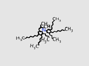 CCCCCCCCc1cc(C=C(CC)C(C)=Nc2cc(CCCC)c(CCCCCCCC)c(CCCCCC)c2)cc(CCCC)c1CCCCCC